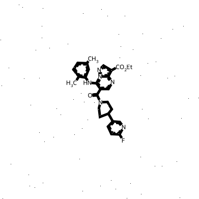 CCOC(=O)c1cnn2c(Nc3cc(C)ccc3C)c(C(=O)N3CCC(c4ccc(F)nc4)CC3)cnc12